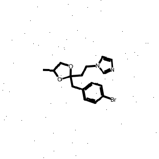 CC1COC(CCn2ccnc2)(Cc2ccc(Br)cc2)O1